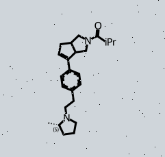 CC(C)C(=O)N1CC2CC=C(c3ccc(CCN4CCC[C@@H]4C)cc3)C2C1